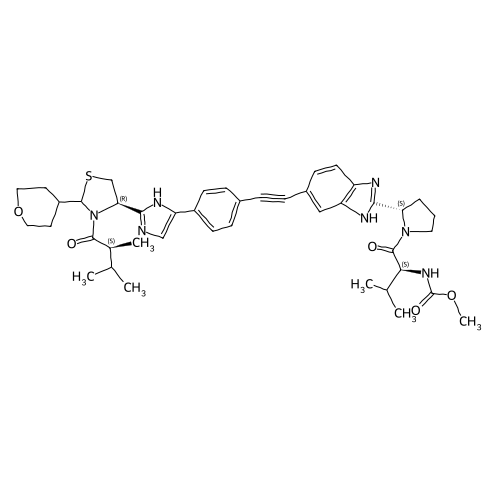 COC(=O)N[C@H](C(=O)N1CCC[C@H]1c1nc2ccc(C#Cc3ccc(-c4cnc([C@@H]5CSC(C6CCOCC6)N5C(=O)[C@@H](C)C(C)C)[nH]4)cc3)cc2[nH]1)C(C)C